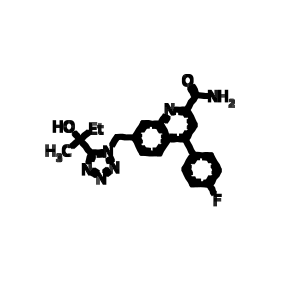 CCC(C)(O)c1nnnn1Cc1ccc2c(-c3ccc(F)cc3)cc(C(N)=O)nc2c1